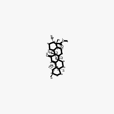 COC(=O)[C@]1(C)[C@@H]2CC[C@]3(C)[C@H](C(=O)C=C4[C@@H]5[C@@H](C)[C@H](C)CC[C@]5(C)CC[C@]43C)[C@@]2(C)CC[C@@H]1Br